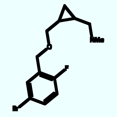 CNCC1CC1COCc1cc(Br)ccc1F